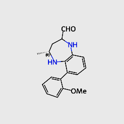 COc1ccccc1-c1cccc2c1N[C@H](C)CC(C=O)N2